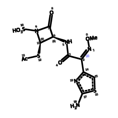 CO/N=C(\C(=O)N[C@@H]1C(=O)N(S(=O)(=O)O)[C@@H]1SC(C)=O)c1csc(N)n1